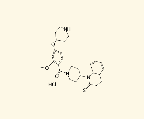 COc1cc(OC2CCNCC2)ccc1C(=O)N1CCC(N2C(=S)CCC3C=CC=CC32)CC1.Cl